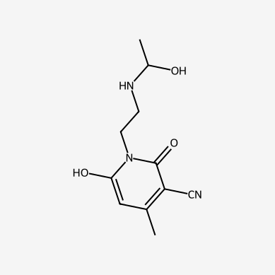 Cc1cc(O)n(CCNC(C)O)c(=O)c1C#N